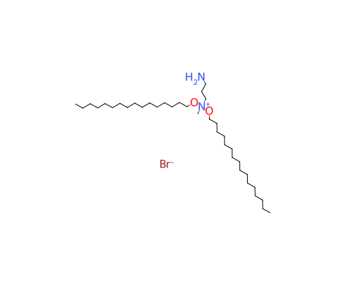 CCCCCCCCCCCCCCCCO[N+](C)(CCCN)OCCCCCCCCCCCCCCCC.[Br-]